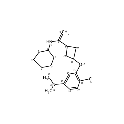 C=C(NC1CCCCC1)C1CC(Oc2cc(N(C)C)ccc2Cl)C1